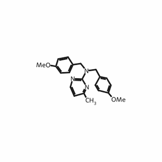 COc1ccc(CN(Cc2ccc(OC)cc2)c2nccc(C)n2)cc1